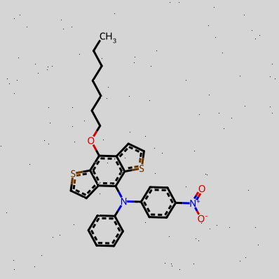 CCCCCCCOc1c2ccsc2c(N(c2ccccc2)c2ccc([N+](=O)[O-])cc2)c2ccsc12